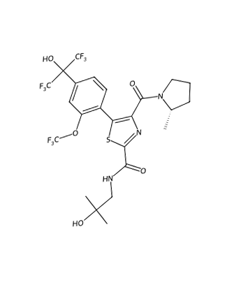 C[C@H]1CCCN1C(=O)c1nc(C(=O)NCC(C)(C)O)sc1-c1ccc(C(O)(C(F)(F)F)C(F)(F)F)cc1OC(F)(F)F